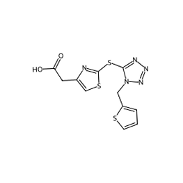 O=C(O)Cc1csc(Sc2nnnn2Cc2cccs2)n1